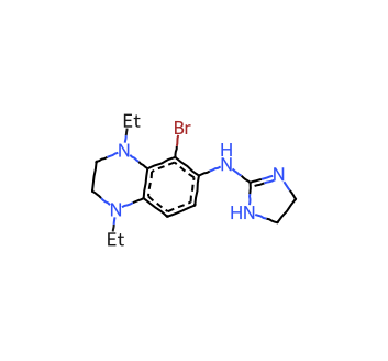 CCN1CCN(CC)c2c1ccc(NC1=NCCN1)c2Br